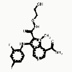 Cn1c(C(=O)NOCCO)c(Nc2ccc(I)cc2F)c2cncc(C(N)=O)c21